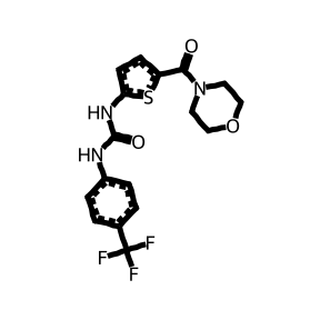 O=C(Nc1ccc(C(F)(F)F)cc1)Nc1ccc(C(=O)N2CCOCC2)s1